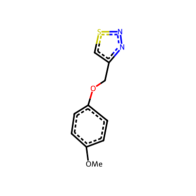 COc1ccc(OCc2csnn2)cc1